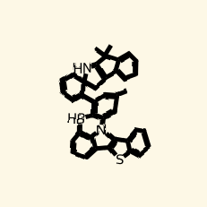 Cc1cc(C2=CC=CCC23CC2=C(N3)C(C)(C)c3ccccc32)c2c(c1)-n1c3c(cccc3c3sc4ccccc4c31)B2